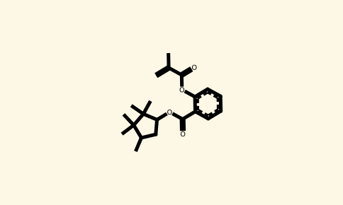 C=C(C)C(=O)Oc1ccccc1C(=O)OC1CC(C)C(C)(C)C1(C)C